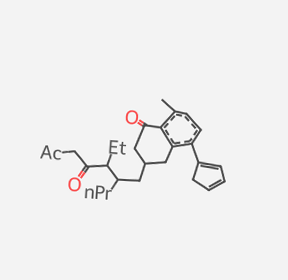 CCCC(CC1CC(=O)c2c(C)ccc(C3=CC=CC3)c2C1)C(CC)C(=O)CC(C)=O